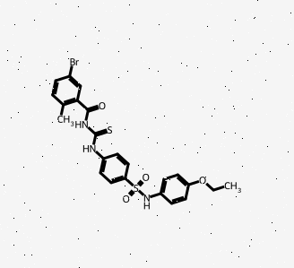 CCOc1ccc(NS(=O)(=O)c2ccc(NC(=S)NC(=O)c3cc(Br)ccc3C)cc2)cc1